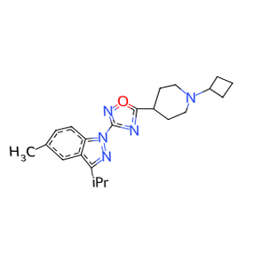 Cc1ccc2c(c1)c(C(C)C)nn2-c1noc(C2CCN(C3CCC3)CC2)n1